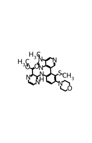 COC(=O)c1nccnc1Nc1ccc(N2CCOCC2)c(SC)c1-c1cncc2c1ncn2C